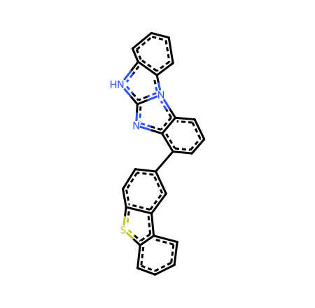 c1ccc2c(c1)[nH]c1nc3c(-c4ccc5sc6ccccc6c5c4)cccc3n12